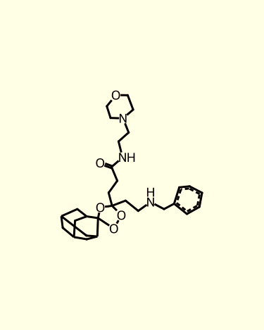 O=C(CCC1(CCNCc2ccccc2)OOC2(O1)C1CC3CC(C1)CC2C3)NCCN1CCOCC1